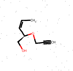 C#CCO[C@H](/C=C\C)CO